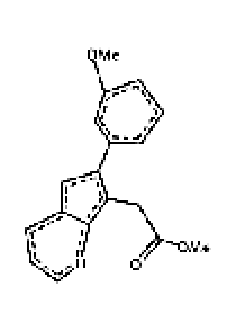 COC(=O)Cc1c(-c2cccc(OC)c2)cc2cccoc1-2